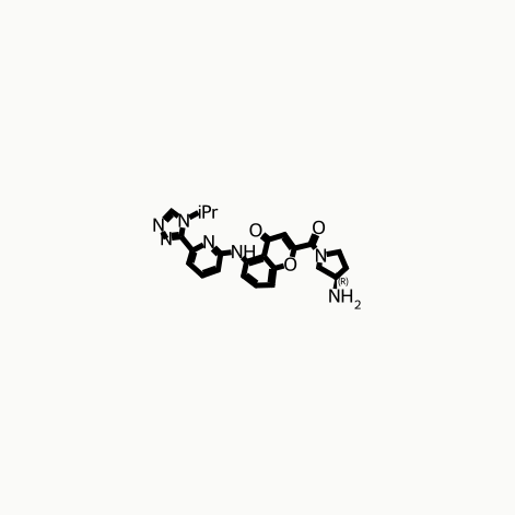 CC(C)n1cnnc1-c1cccc(Nc2cccc3oc(C(=O)N4CC[C@@H](N)C4)cc(=O)c23)n1